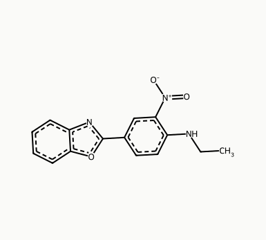 CCNc1ccc(-c2nc3ccccc3o2)cc1[N+](=O)[O-]